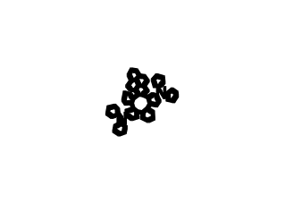 c1ccc(N(c2ccccc2)c2ccc3c4ccccc4c4ccc(N(c5ccccc5)c5ccccc5)cc4c4cc5ccc6cccc7ccc(c4c4ccccc4c3c2)c5c67)cc1